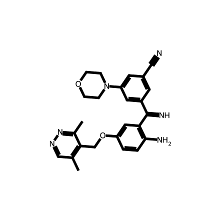 Cc1cnnc(C)c1COc1ccc(N)c(C(=N)c2cc(C#N)cc(N3CCOCC3)c2)c1